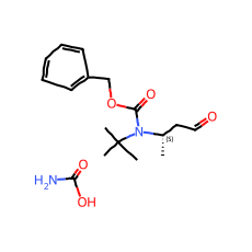 C[C@@H](CC=O)N(C(=O)OCc1ccccc1)C(C)(C)C.NC(=O)O